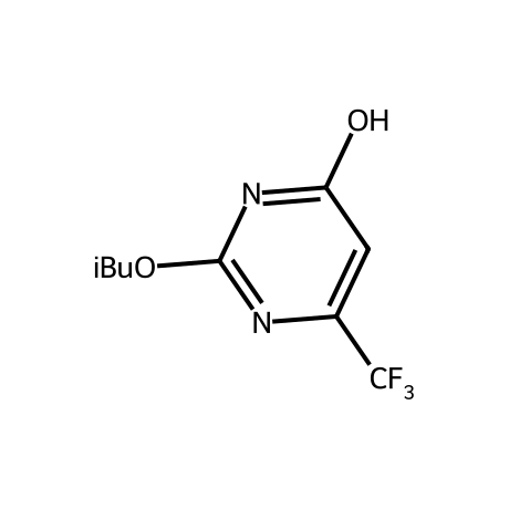 CC(C)COc1nc(O)cc(C(F)(F)F)n1